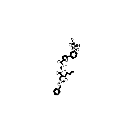 CCCCCC(CN(C=O)OCc1ccccc1)C(=O)NCNC(=O)c1ccc(-c2cccc(S(=O)(=O)NC(=O)CC)c2)o1